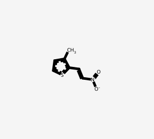 Cc1ccsc1/C=C/[N+](=O)[O-]